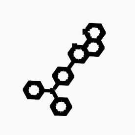 c1ccc(N(c2ccccc2)c2ccc(-c3cnc4c(ccc5cccnc54)c3)cc2)cc1